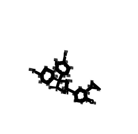 C[C@@H]1NC(c2ccc(=O)n(C3CC3)c2)=N[C@@]1(c1ccc(F)cc1)c1ccc(F)nc1